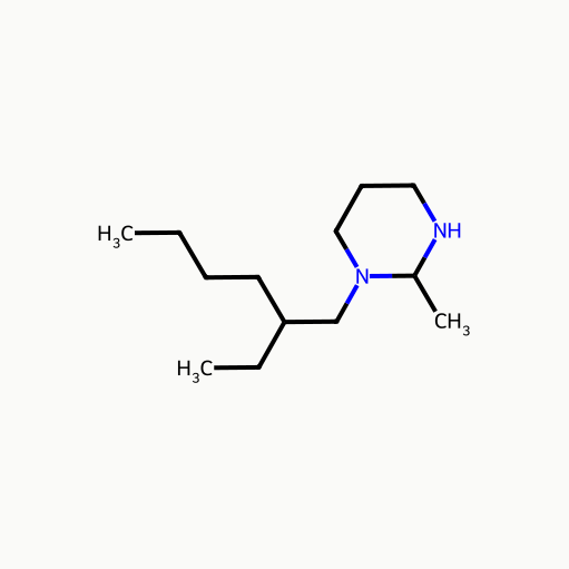 CCCCC(CC)CN1CCCNC1C